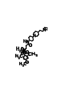 COc1cc(C)c(S(=O)(=O)N(C)CCC(=O)N[C@H]2CC[C@H](N3CCC(CCN4CCC4)CC3)CC2)c(C)c1